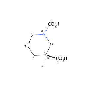 C[C@]1(C(=O)O)CCCN(C(=O)O)C1